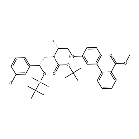 COC(=O)c1ccccc1-c1cccc(NC[C@@H](C)N(C[C@H](O[Si](C)(C)C(C)(C)C)c2cccc(Cl)c2)C(=O)OC(C)(C)C)c1